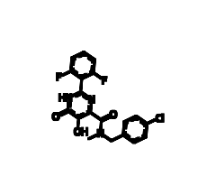 CN(Cc1ccc(Cl)cc1)C(=O)c1nc(-c2c(F)cccc2F)[nH]c(=O)c1O